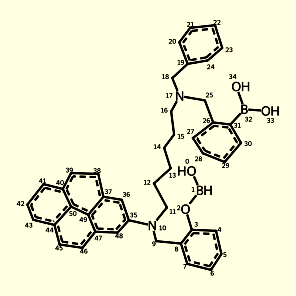 OBOc1ccccc1CN(CCCCCCN(Cc1ccccc1)Cc1ccccc1B(O)O)c1cc2ccc3cccc4ccc(c1)c2c34